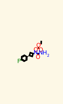 CCOC(=O)ON(C(N)=O)[C@H]1C[C@@H](c2ccc(F)cc2)C1